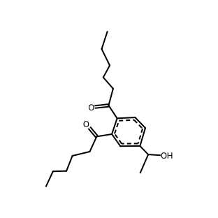 CCCCCC(=O)c1ccc(C(C)O)cc1C(=O)CCCCC